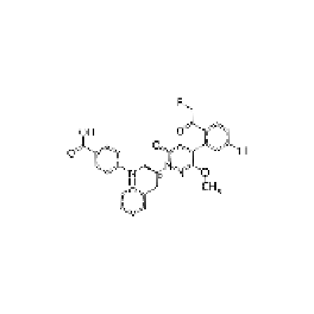 COc1nn([C@H](CNc2ccc(C(=O)O)cc2)Cc2ccccc2)c(=O)cc1-c1cc(Cl)ccc1C(=O)CF